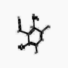 Cc1cc(C)c(N)c(C=S)c1N